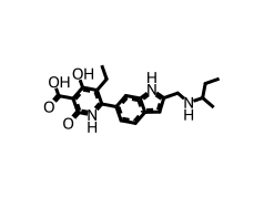 CCc1c(-c2ccc3cc(CNC(C)CC)[nH]c3c2)[nH]c(=O)c(C(=O)O)c1O